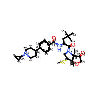 CS[C@H]1CN(C(=O)C(CC(C)(C)C)NC(=O)c2ccc(C3CCN(C4CC4)CC3)cc2)[C@@H]2C(=O)CO[C@H]12